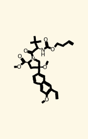 C=CCCOC(=O)N[C@H](C(=O)N1C[C@](OC)(c2ccc3cc(OC)c(C=C)cc3c2)C[C@H]1C(=O)OC)C(C)(C)C